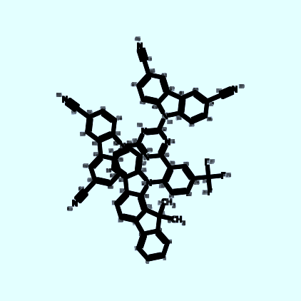 CC1(C)c2ccccc2-c2ccc3c4ccccc4n(-c4ccc(C(F)(F)F)cc4-c4nc(-n5c6ccc(C#N)cc6c6cc(C#N)ccc65)nc(-n5c6ccc(C#N)cc6c6cc(C#N)ccc65)n4)c3c21